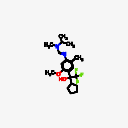 COc1cc(/N=C/N(C)C(C)C)c(C)cc1C(O)(C1CCCC1)C(F)(F)F